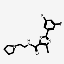 Cc1nc(-c2cc(F)cc(F)c2)sc1C(=O)NCCN1CCCC1